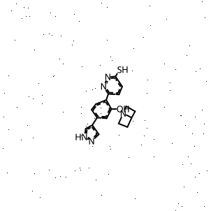 C1CN2CCC12.Oc1cc(-c2cn[nH]c2)ccc1-c1ccc(S)nn1